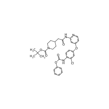 CC(C)(C)OC(=O)N1CCC(CC(=O)Nc2cc(Oc3ccc(NC(=O)Oc4ccccc4)c(Cl)c3)ccn2)CC1